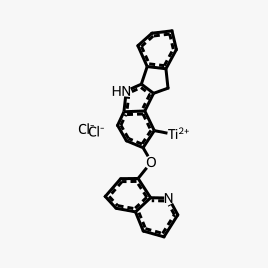 [Cl-].[Cl-].[Ti+2][c]1c(Oc2cccc3cccnc23)ccc2[nH]c3c(c12)Cc1ccccc1-3